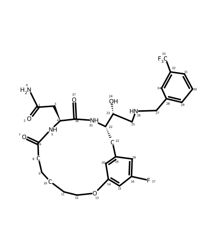 NC(=O)C[C@@H]1NC(=O)CCCCCOc2cc(F)cc(c2)C[C@@H]([C@H](O)CNCc2cccc(C(F)(F)F)c2)NC1=O